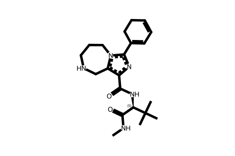 CNC(=O)[C@@H](NC(=O)c1nc(C2=CC=CCC2)n2c1CNCCC2)C(C)(C)C